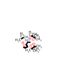 CC(C)(C)[S@@+]([O-])N[C@H](c1ccco1)C(B1OC(C)(C)C(C)(C)O1)B1OC(C)(C)C(C)(C)O1